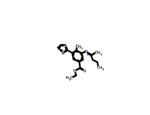 CCC/C(C)=N\c1cc(C(=O)OCC)cc(-c2nccs2)c1C